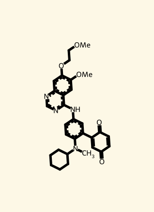 COCCOc1cc2ncnc(Nc3ccc(N(C)C4CCCCC4)c(C4=CC(=O)C=CC4=O)c3)c2cc1OC